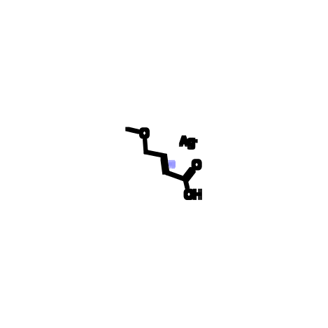 COC/C=C/C(=O)O.[Ag]